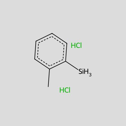 Cc1ccccc1[SiH3].Cl.Cl